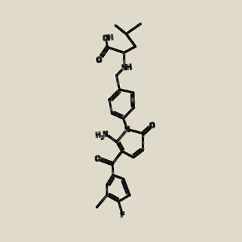 Cc1cc(C(=O)c2ccc(=O)n(-c3ccc(CNC(CC(C)C)C(=O)O)cc3)c2N)ccc1F